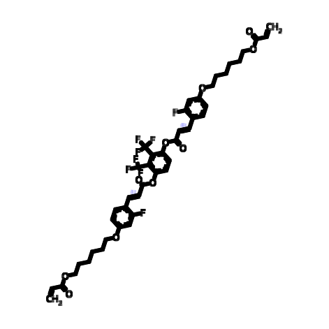 C=CC(=O)OCCCCCCOc1ccc(/C=C/C(=O)Oc2ccc(OC(=O)/C=C/c3ccc(OCCCCCCOC(=O)C=C)cc3F)c(C(F)(F)F)c2C(F)(F)F)c(F)c1